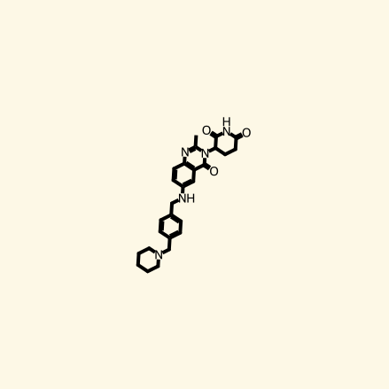 Cc1nc2ccc(NCc3ccc(CN4CCCCC4)cc3)cc2c(=O)n1C1CCC(=O)NC1=O